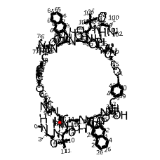 CN[C@@H](C)C(=O)N[C@H](C(=O)N1C[C@@H]2C[C@H]1C(=O)N[C@@H](Cc1ccc3ccccc3c1)C(=O)N[C@H](C(=O)O)Cc1ccc(cc1)OCc1cn(nn1)[C@H]1C[C@@H](C(=O)N[C@@H](Cc3ccc4ccccc4c3)C(=O)N[C@H](C(=O)N(C)C)Cc3ccc(cc3)OCc3cn2cn3)N(C(=O)[C@@H](NC(=O)[C@H](C)NC)C(C)(C)C)C1)C(C)(C)C